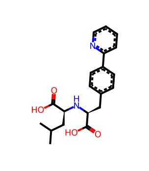 CC(C)C[C@H](N[C@@H](Cc1ccc(-c2ccccn2)cc1)C(=O)O)C(=O)O